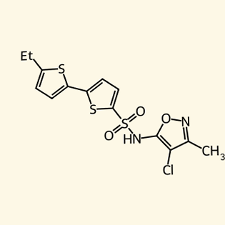 CCc1ccc(-c2ccc(S(=O)(=O)Nc3onc(C)c3Cl)s2)s1